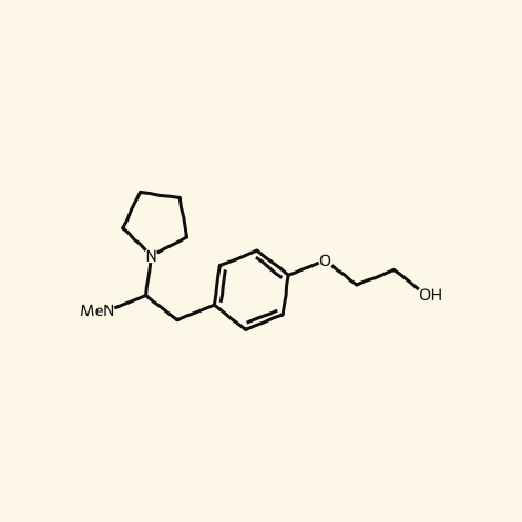 CNC(Cc1ccc(OCCO)cc1)N1CCCC1